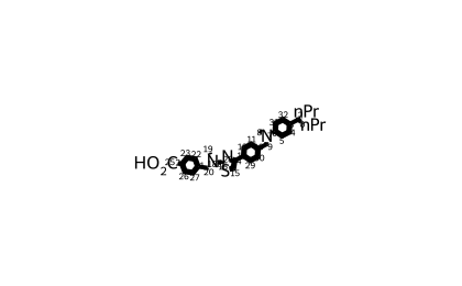 CCCC(CCC)c1ccc(N(C)Cc2ccc(-c3csc(N(C)Cc4ccc(C(=O)O)cc4)n3)cc2)cc1